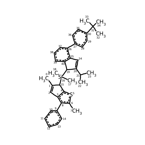 CC1=Cc2c(sc(C)c2-c2ccccc2)C1[Si](C)(C)C1C(C(C)C)=Cc2c(-c3ccc(C(C)(C)C)cc3)cccc21